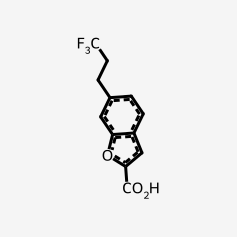 O=C(O)c1cc2ccc(CCC(F)(F)F)cc2o1